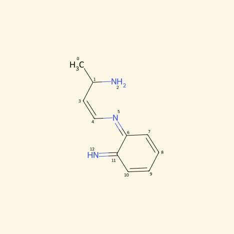 CC(N)/C=C\N=C1\C=CC=CC1=N